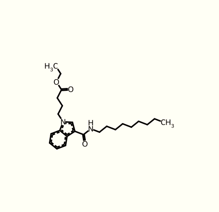 CCCCCCCCCNC(=O)c1cn(CCCC(=O)OCC)c2ccccc12